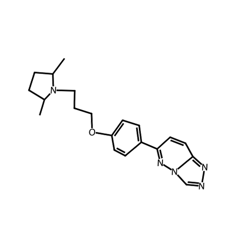 CC1CCC(C)N1CCCOc1ccc(-c2ccc3nncn3n2)cc1